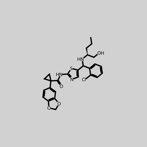 CCC[C@@H](CO)NC(c1cnc(NC(=O)C2(c3ccc4c(c3)OCO4)CC2)s1)c1ccccc1Cl